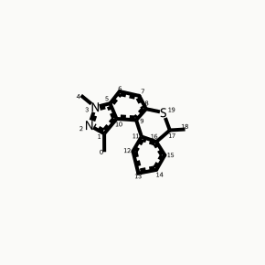 Cc1nn(C)c2ccc3c(c12)-c1ccccc1C(C)S3